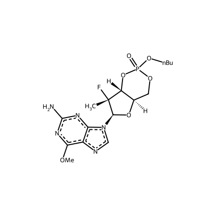 CCCCOP1(=O)OC[C@H]2O[C@@H](n3cnc4c(OC)nc(N)nc43)[C@](C)(F)[C@@H]2O1